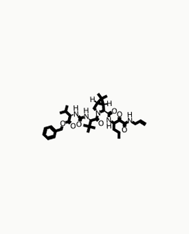 C=CCNC(=O)C(=O)C(CCC)NC(=O)[C@@H]1[C@@H]2[C@H](CN1C(=O)[C@@H](NC(=O)N[C@H](C(=O)OCc1ccccc1)C(C)C)C(C)(C)C)C2(C)C